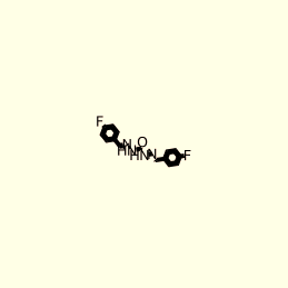 O=C(NN=Cc1ccc(F)cc1)NN=Cc1ccc(F)cc1